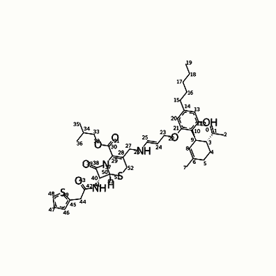 C=C(C)[C@@H]1CCC(C)=C[C@H]1c1c(O)cc(CCCCC)cc1OC/C=C/NCC1=C(C(=O)OCC(C)C)N2C(=O)[C@@H](NC(=O)Cc3cccs3)[C@H]2SC1